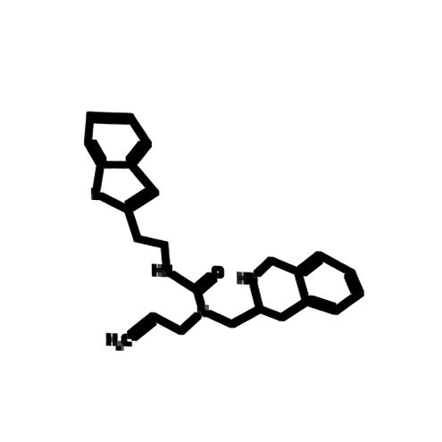 C=CCN(CC1Cc2ccccc2CN1)C(=O)NCCc1cc2ccccc2s1